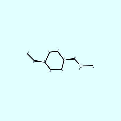 CC[C@H]1CC[C@@H](COC)CC1